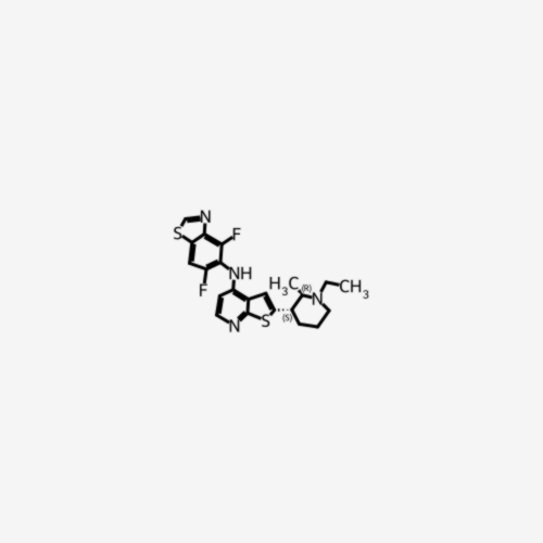 CCN1CCC[C@H](c2cc3c(Nc4c(F)cc5scnc5c4F)ccnc3s2)[C@H]1C